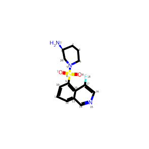 N[C@H]1CCCN(S(=O)(=O)c2cccc3cncc(F)c23)C1